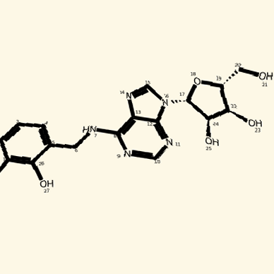 Cc1cccc(CNc2ncnc3c2ncn3[C@@H]2O[C@H](CO)[C@@H](O)[C@H]2O)c1O